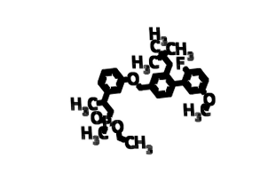 CCOP(C)(=O)CC(C)c1cccc(OCc2ccc(-c3cc(OC)ccc3F)c(CC(C)(C)C)c2)c1